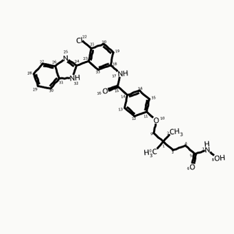 CC(C)(CCC(=O)NO)COc1ccc(C(=O)Nc2ccc(Cl)c(-c3nc4ccccc4[nH]3)c2)cc1